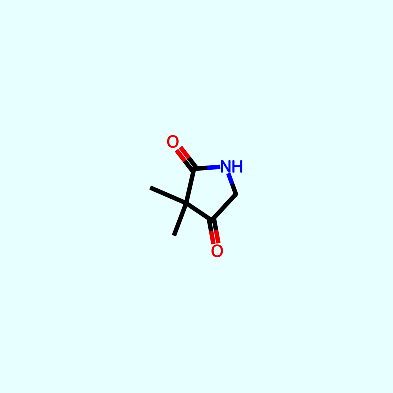 CC1(C)C(=O)CNC1=O